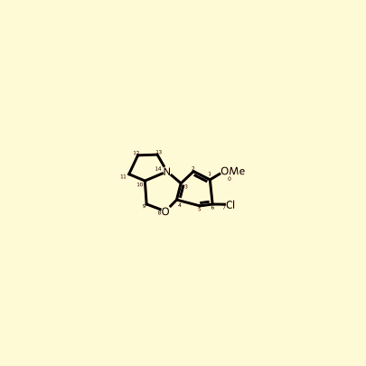 COc1cc2c(cc1Cl)OCC1CCCN21